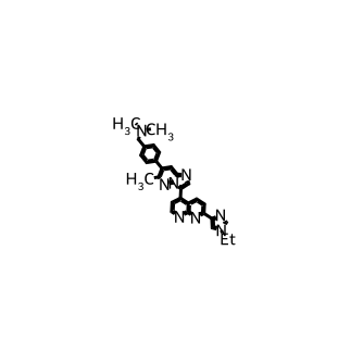 CCn1cnc(-c2ccc3c(-c4cnc5cc(-c6ccc(CN(C)C)cc6)c(C)nn45)ccnc3n2)c1